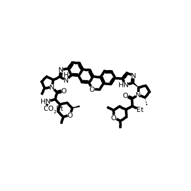 CCOC(=O)NC(C(=O)N1C(C)CCC1c1nc2ccc3cc4c(cc3c2[nH]1)OCc1cc(-c2cnc([C@H]3CC[C@H](C)N3C(=O)[C](CC)C3CC(C)OC(C)C3)[nH]2)ccc1-4)C1CC(C)O[C@H](C)C1